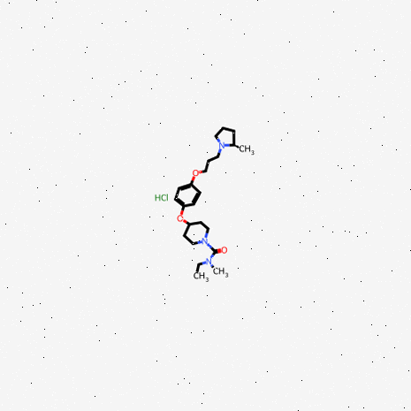 CCN(C)C(=O)N1CCC(Oc2ccc(OCCCN3CCC[C@H]3C)cc2)CC1.Cl